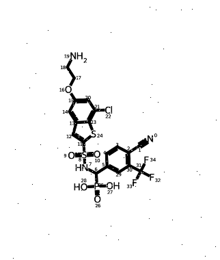 N#Cc1ccc(C(NS(=O)(=O)c2cc3cc(OCCN)cc(Cl)c3s2)P(=O)(O)O)cc1C(F)(F)F